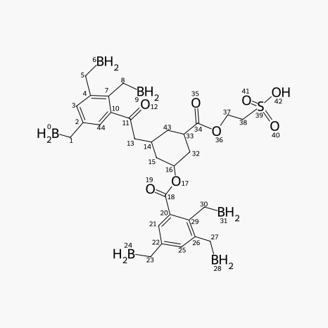 BCc1cc(CB)c(CB)c(C(=O)CC2CC(OC(=O)c3cc(CB)cc(CB)c3CB)CC(C(=O)OCCS(=O)(=O)O)C2)c1